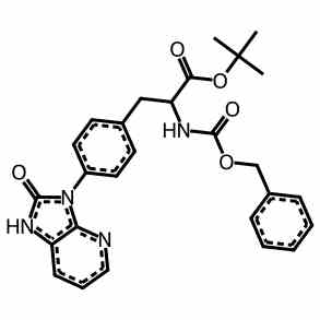 CC(C)(C)OC(=O)C(Cc1ccc(-n2c(=O)[nH]c3cccnc32)cc1)NC(=O)OCc1ccccc1